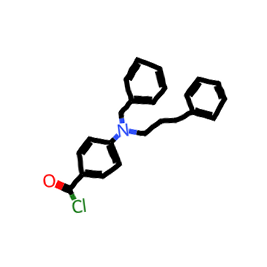 O=C(Cl)c1ccc(N(CCCc2ccccc2)Cc2ccccc2)cc1